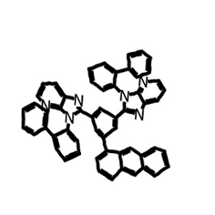 c1ccc(-c2ccccc2-n2c(-c3cc(-c4cccc5cc6ccccc6cc45)cc(-c4nc5cccnc5n4-c4ccccc4-c4ccccc4)c3)nc3cccnc32)cc1